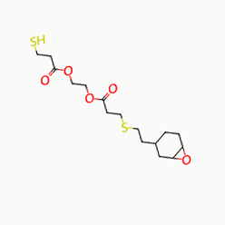 O=C(CCS)OCCOC(=O)CCSCCC1CCC2OC2C1